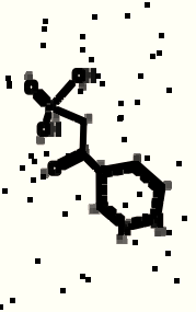 O=C(CP(=O)(O)O)c1ccnnc1